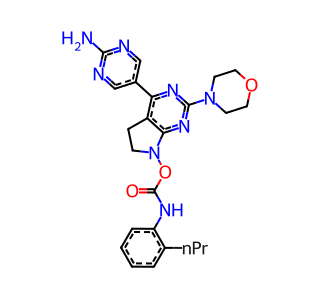 CCCc1ccccc1NC(=O)ON1CCc2c(-c3cnc(N)nc3)nc(N3CCOCC3)nc21